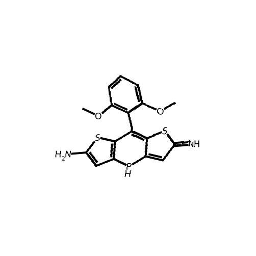 COc1cccc(OC)c1-c1c2sc(=N)cc-2[pH]c2cc(N)sc12